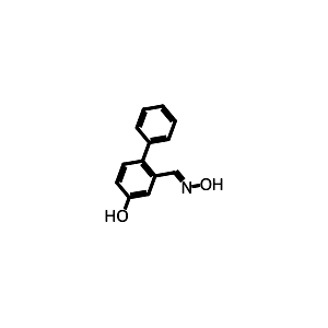 O/N=C/c1cc(O)ccc1-c1ccccc1